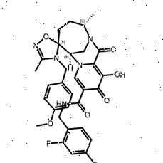 COc1ccc(CN2C(C)=NO[C@@]23CC[C@H](C)N2C[C@H]3n3cc(C(=O)NCc4ccc(F)cc4F)c(=O)c(O)c3C2=O)cc1